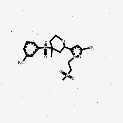 CC1(S(=O)(=O)c2cccc(C(F)(F)F)c2)CCOC(c2cc(C(F)(F)F)nn2CCS(C)(=O)=O)C1